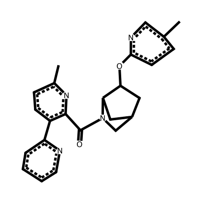 Cc1ccc(OC2CC3CC2N(C(=O)c2nc(C)ccc2-c2ccccn2)C3)nc1